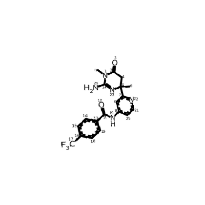 CN1C(=O)CC(C)(c2cc(NC(=O)c3ccc(C(F)(F)F)cc3)ccn2)N=C1N